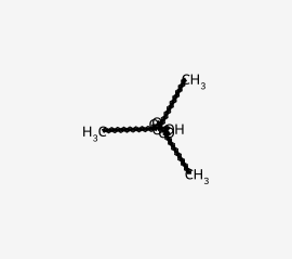 CCCCCCCCCCCCCCCCCC(=O)OC(C(=O)CCCCCCCCCCCCCCCCC)C(CO)OC(=O)CCCCCCCCCCCCCCC